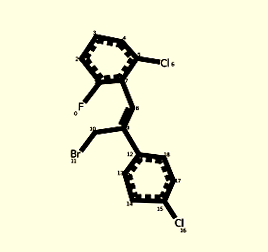 Fc1cccc(Cl)c1/C=C(\CBr)c1ccc(Cl)cc1